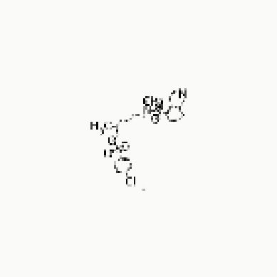 Cc1ccc(S(=O)(=O)OCC(C)CCCCN(C)S(=O)(=O)c2cccc3cnccc23)cc1